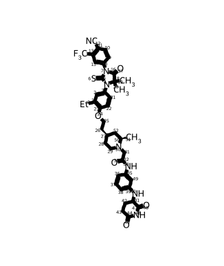 CCc1cc(N2C(=S)N(c3ccc(C#N)c(C(F)(F)F)c3)C(=O)C2(C)C)ccc1OCC[C@@H]1CCN(CC(=O)Nc2cccc(NC3CCC(=O)NC3=O)c2)[C@H](C)C1